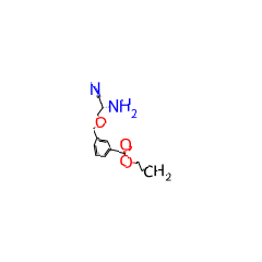 C=CCOC(=O)c1cccc(COC[C@@H](N)C#N)c1